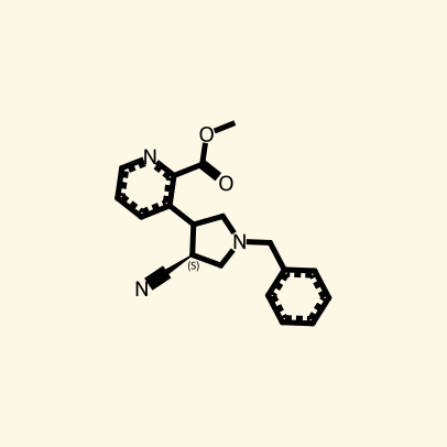 COC(=O)c1ncccc1C1CN(Cc2ccccc2)C[C@H]1C#N